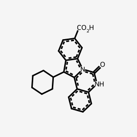 O=C(O)c1ccc2c(C3CCCCC3)c3c4ccccc4[nH]c(=O)n3c2c1